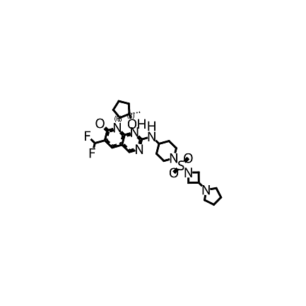 C[C@@]1(O)CCC[C@H]1n1c(=O)c(C(F)F)cc2cnc(NC3CCN(S(=O)(=O)N4CC(N5CCCC5)C4)CC3)nc21